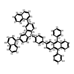 c1ccc(-c2c3ccccc3c(-c3ccccc3)c3cc(-c4ccc(-n5c6ccc(-c7cccc8ccccc78)cc6c6cc(-c7cccc8ccccc78)ccc65)cc4)ccc23)cc1